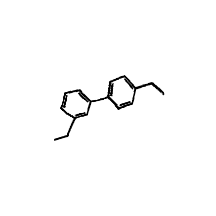 CCc1ccc(-c2cccc(CC)c2)cc1